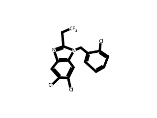 FC(F)(F)Cc1nc2cc(Cl)c(Cl)cc2n1Cc1ccccc1Cl